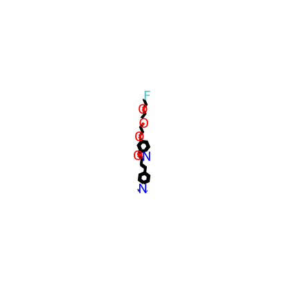 CN(C)c1ccc(/C=C/c2nc3ccc(OCCOCCOCCF)cc3o2)cc1